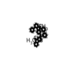 CC1(C)c2ccccc2-c2ccc(N(c3ccccc3)c3ccc4c(c3)C(C)(c3ccccc3)c3cccc(-c5ccccc5)c3-4)cc21